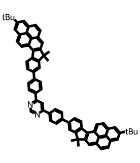 CC(C)(C)c1cc2ccc3cc4c(c5ccc(c1)c2c35)-c1ccc(-c2ccc(-c3cc(-c5ccc(-c6ccc7c(c6)C(C)(C)c6cc8ccc9cc(C(C)(C)C)cc%10ccc(c6-7)c8c9%10)cc5)ncn3)cc2)cc1C4(C)C